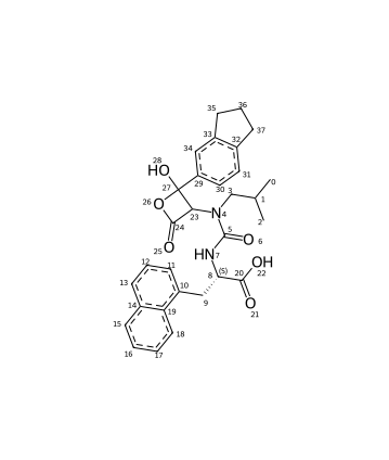 CC(C)CN(C(=O)N[C@@H](Cc1cccc2ccccc12)C(=O)O)C1C(=O)OC1(O)c1ccc2c(c1)CCC2